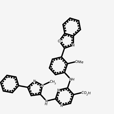 COc1c(Nc2nc(Nc3cc(-c4ccccc4)nn3C)ncc2C(=O)O)cccc1-c1nc2ccccc2o1